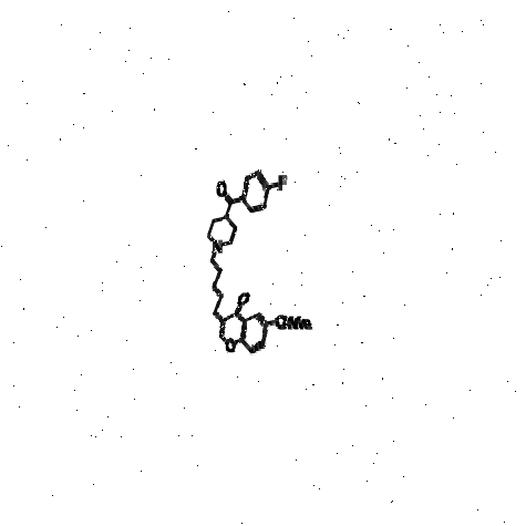 COc1ccc2occ(CCCCCN3CCC(C(=O)c4ccc(F)cc4)CC3)c(=O)c2c1